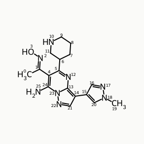 C/C(=N\O)c1c(C2CCCNC2)nc2c(-c3cnn(C)c3)cnn2c1N